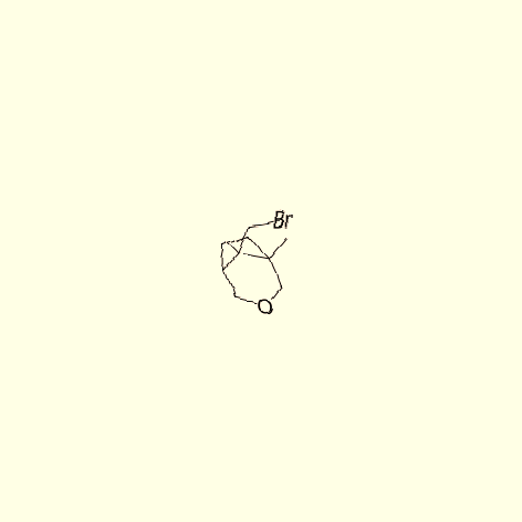 CC12CCC(COC1)C2(C)CBr